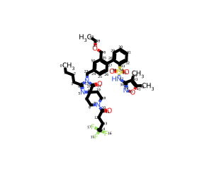 CCCCC1=NC2(CCN(C(=O)CCC(F)(F)F)CC2)C(=O)N1Cc1ccc(-c2ccccc2S(=O)(=O)Nc2noc(C)c2C)c(COCC)c1